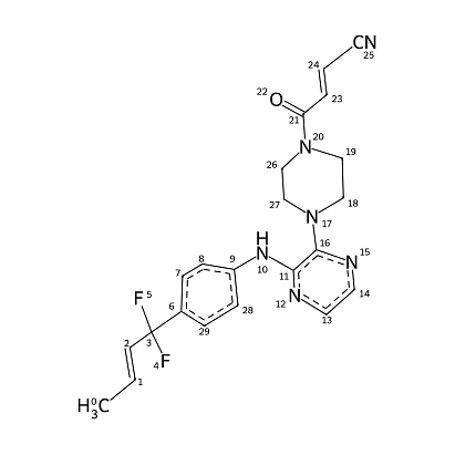 C/C=C/C(F)(F)c1ccc(Nc2nccnc2N2CCN(C(=O)/C=C/C#N)CC2)cc1